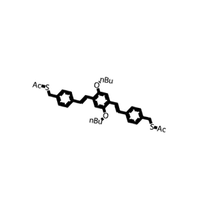 CCCCOc1cc(C=Cc2ccc(CSC(C)=O)cc2)c(OCCCC)cc1C=Cc1ccc(CSC(C)=O)cc1